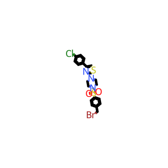 O=S(=O)(c1ccc(CBr)cc1)N1CCN(c2nc(-c3ccc(Cl)cc3)cs2)CC1